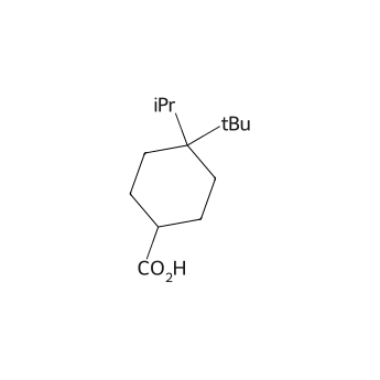 CC(C)C1(C(C)(C)C)CCC(C(=O)O)CC1